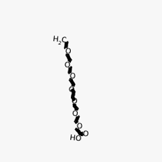 C=CCOCCOCCOCCOCCOCCOCCOCC(=O)O